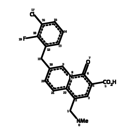 CNCc1cc(C(=O)O)c(=O)n2cc(Cc3cccc(Cl)c3F)ccc12